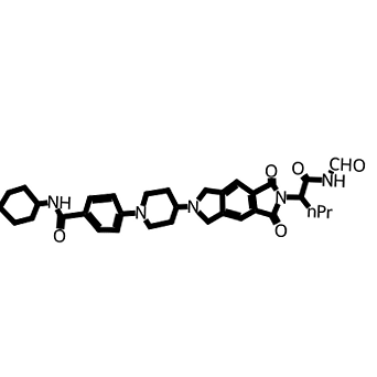 CCCC(C(=O)NC=O)N1C(=O)c2cc3c(cc2C1=O)CN(C1CCN(c2ccc(C(=O)NC4CCCCC4)cc2)CC1)C3